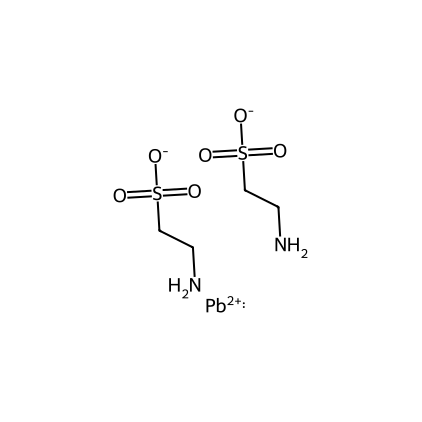 NCCS(=O)(=O)[O-].NCCS(=O)(=O)[O-].[Pb+2]